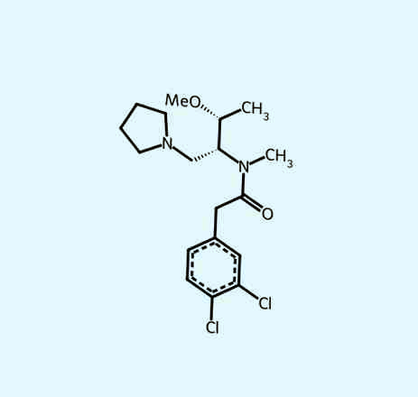 CO[C@H](C)[C@@H](CN1CCCC1)N(C)C(=O)Cc1ccc(Cl)c(Cl)c1